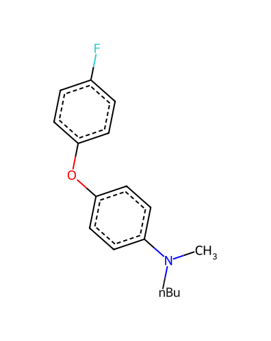 CCCCN(C)c1ccc(Oc2ccc(F)cc2)cc1